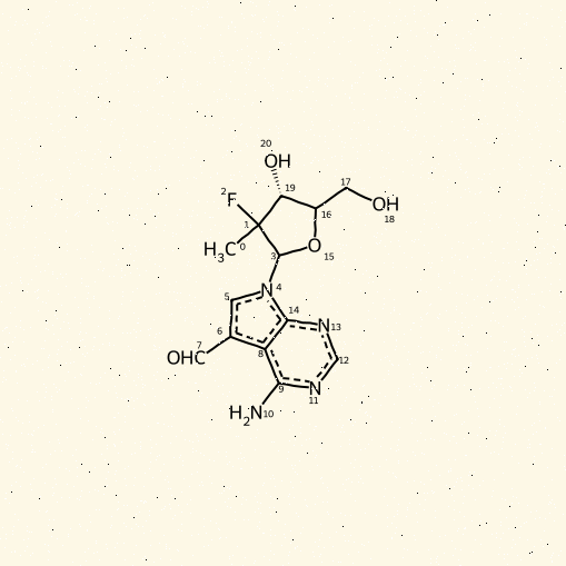 CC1(F)C(n2cc(C=O)c3c(N)ncnc32)OC(CO)[C@H]1O